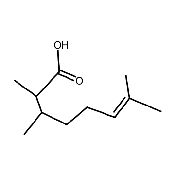 CC(C)=CCCC(C)C(C)C(=O)O